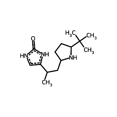 CC(CC1CCC(C(C)(C)C)N1)c1c[nH]c(=O)[nH]1